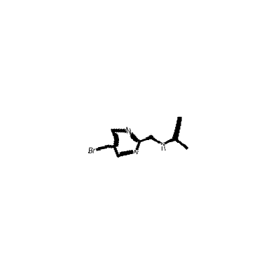 C=C(C)NCc1ncc(Br)cn1